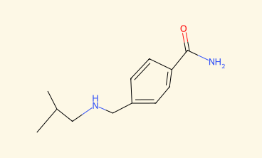 CC(C)CNCc1ccc(C(N)=O)cc1